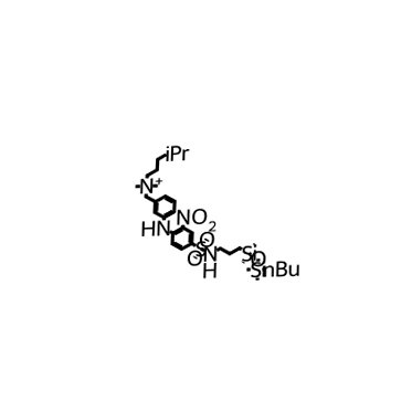 CCCC[Si](C)(C)O[Si](C)(C)CCCNS(=O)(=O)c1ccc(Nc2cccc(C[N+](C)(C)CCCC(C)C)c2)c([N+](=O)[O-])c1